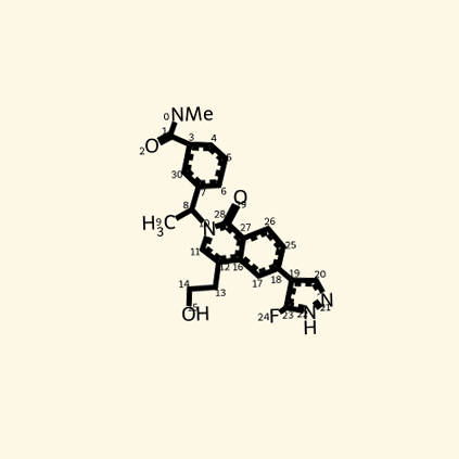 CNC(=O)c1cccc(C(C)n2cc(CCO)c3cc(-c4cn[nH]c4F)ccc3c2=O)c1